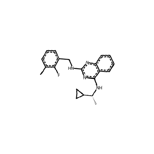 Cc1cccc(CNc2nc(N[C@H](C)C3CC3)c3ccccc3n2)c1F